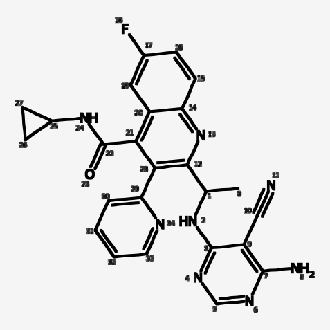 CC(Nc1ncnc(N)c1C#N)c1nc2ccc(F)cc2c(C(=O)NC2CC2)c1-c1ccccn1